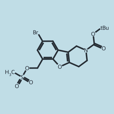 CC(C)(C)OC(=O)N1CCc2oc3c(COS(C)(=O)=O)cc(Br)cc3c2C1